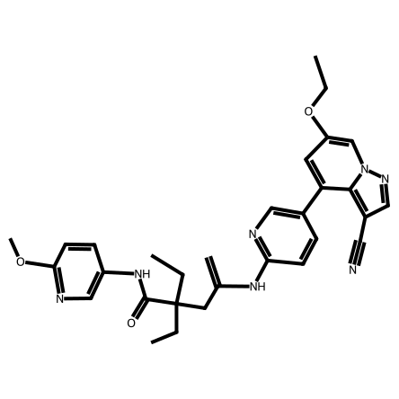 C=C(CC(CC)(CC)C(=O)Nc1ccc(OC)nc1)Nc1ccc(-c2cc(OCC)cn3ncc(C#N)c23)cn1